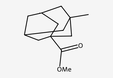 COC(=O)C12C[C]3CC(CC(C)(C3)C1)C2